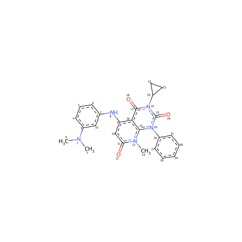 CN(C)c1cccc(Nc2cc(=O)n(C)c3c2c(=O)n(C2CC2)c(=O)n3-c2ccccc2)c1